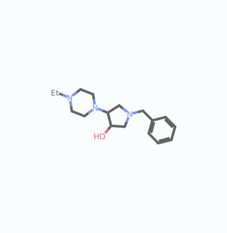 CCN1CCN(C2CN(Cc3ccccc3)CC2O)CC1